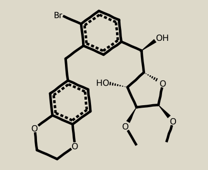 CO[C@@H]1O[C@@H]([C@H](O)c2ccc(Br)c(Cc3ccc4c(c3)OCCO4)c2)[C@@H](O)[C@@H]1OC